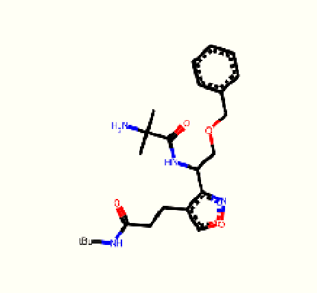 CC(C)(C)NC(=O)CCc1conc1C(COCc1ccccc1)NC(=O)C(C)(C)N